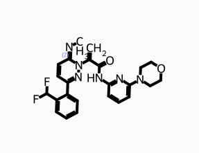 C=C(C(=O)Nc1cccc(N2CCOCC2)n1)n1nc(-c2ccccc2C(F)F)cc/c1=N/C